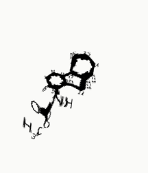 COC(=O)Nc1cccc2c1Cc1ccccc1-2